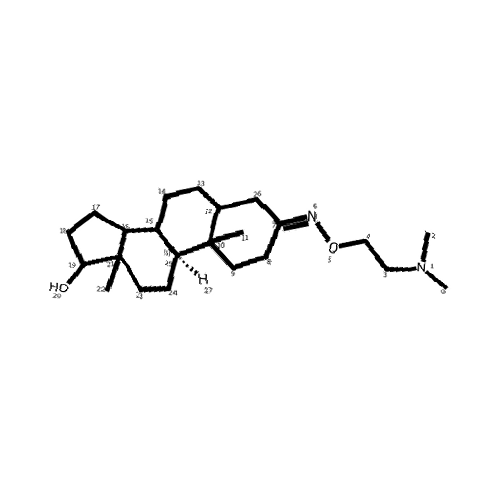 CN(C)CCON=C1CCC2(C)C(CCC3C4CCC(O)C4(C)CC[C@@H]32)C1